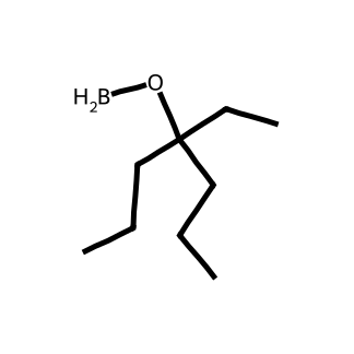 BOC(CC)(CCC)CCC